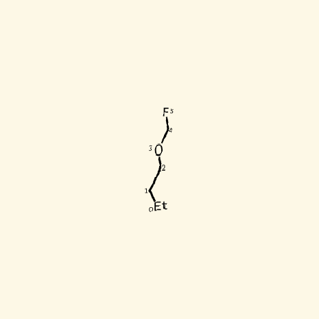 CCC[CH]OCF